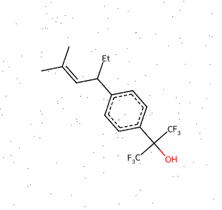 CCC(C=C(C)C)c1ccc(C(O)(C(F)(F)F)C(F)(F)F)cc1